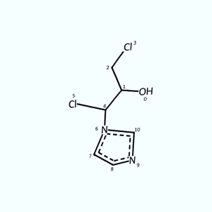 OC(CCl)C(Cl)n1ccnc1